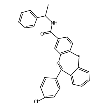 CC(NC(=O)c1ccc2c(c1)N=C(c1ccc(Cl)cc1)c1ccccc1S2)c1ccccc1